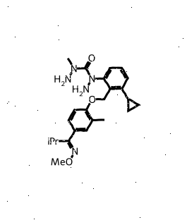 CON=C(c1ccc(OCc2c(C3CC3)cccc2N(N)C(=O)N(C)N)c(C)c1)C(C)C